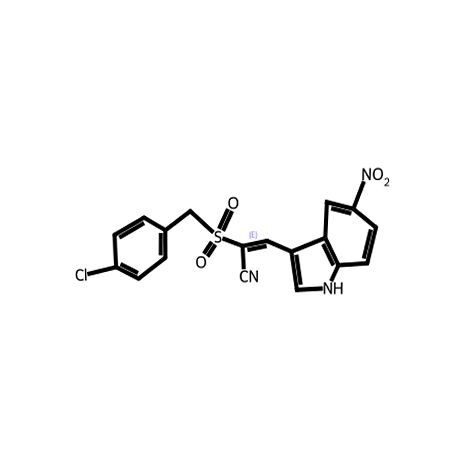 N#C/C(=C\c1c[nH]c2ccc([N+](=O)[O-])cc12)S(=O)(=O)Cc1ccc(Cl)cc1